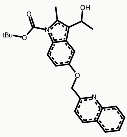 Cc1c(C(C)O)c2cc(OCc3ccc4ccccc4n3)ccc2n1C(=O)OC(C)(C)C